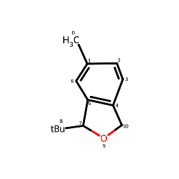 Cc1ccc2c(c1)C(C(C)(C)C)OC2